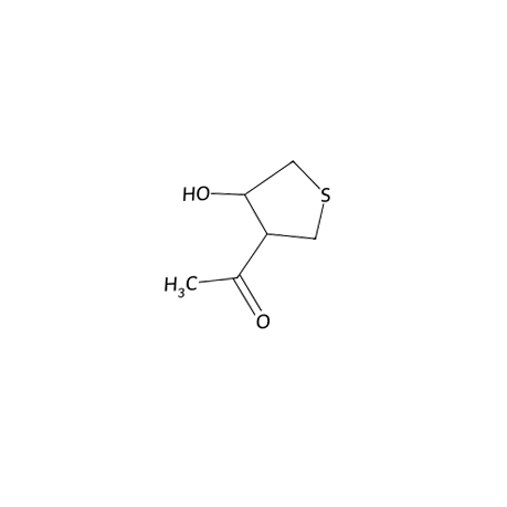 CC(=O)C1CSCC1O